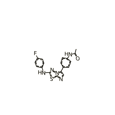 CC(=O)Nc1ccc(-c2cnc3sc(Nc4ccc(F)cc4)nn23)cc1